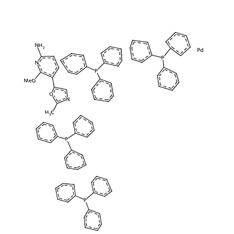 COc1nc(N)ccc1-c1cnc(C)o1.[Pd].c1ccc(P(c2ccccc2)c2ccccc2)cc1.c1ccc(P(c2ccccc2)c2ccccc2)cc1.c1ccc(P(c2ccccc2)c2ccccc2)cc1.c1ccc(P(c2ccccc2)c2ccccc2)cc1